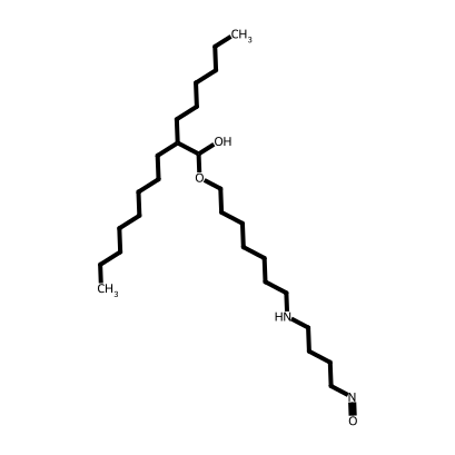 CCCCCCCCC(CCCCCC)C(O)OCCCCCCCNCCCCN=O